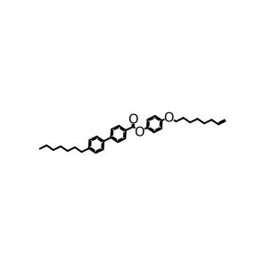 C=CCCCCCCOc1ccc(OC(=O)c2ccc(-c3ccc(CCCCCCC)cc3)cc2)cc1